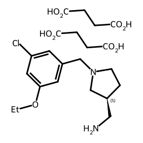 CCOc1cc(Cl)cc(CN2CC[C@@H](CN)C2)c1.O=C(O)CCC(=O)O.O=C(O)CCC(=O)O